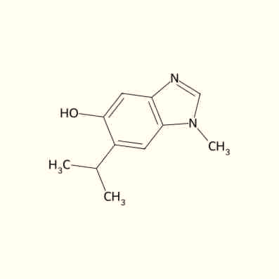 CC(C)c1cc2c(cc1O)ncn2C